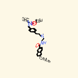 COc1ccc2cc(C(=O)NCCN(C)CCCc3ccc(CN(C=O)OC(C)(C)C)cc3)ccc2c1